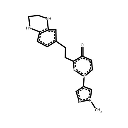 Cn1cc(-n2ccc(=O)c(CCc3ccc4c(c3)NCCN4)n2)cn1